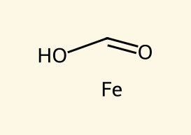 O=CO.[Fe]